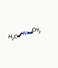 C=CC#[N+]CC=C